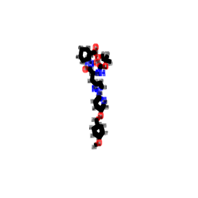 COC(=O)C1=C(NC(=O)C(Cc2ccn(-c3ccc(OCc4ccc(OC)cc4)cn3)n2)NC(=O)OC(C)(C)C)CCCC1